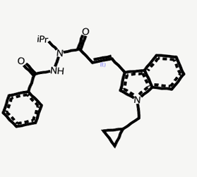 CC(C)N(NC(=O)c1ccccc1)C(=O)/C=C/c1cn(CC2CC2)c2ccccc12